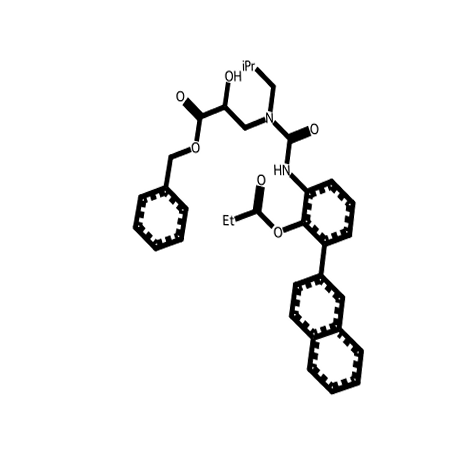 CCC(=O)Oc1c(NC(=O)N(CC(C)C)CC(O)C(=O)OCc2ccccc2)cccc1-c1ccc2ccccc2c1